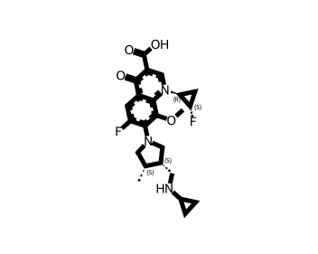 COc1c(N2C[C@H](CNC3CC3)[C@H](C)C2)c(F)cc2c(=O)c(C(=O)O)cn([C@@H]3C[C@@H]3F)c12